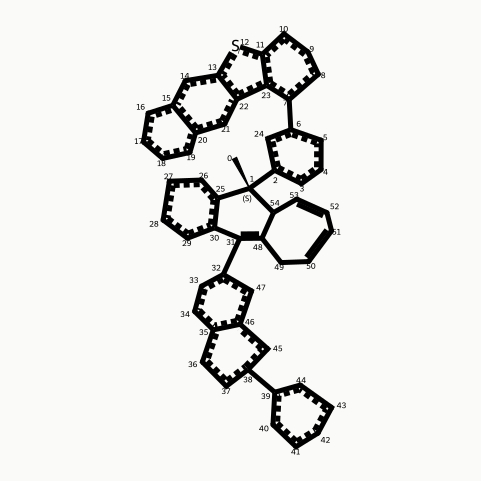 C[C@]1(c2cccc(-c3cccc4sc5cc6ccccc6cc5c34)c2)c2ccccc2C(c2ccc3ccc(-c4ccccc4)cc3c2)=C2CC=CC=CC21